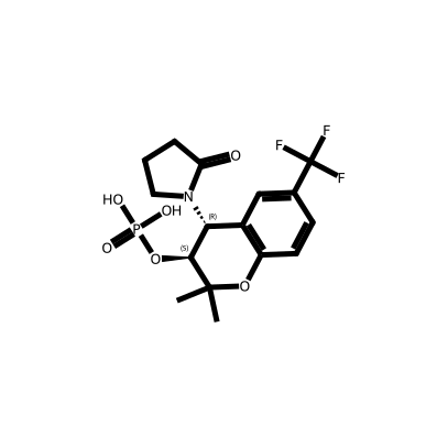 CC1(C)Oc2ccc(C(F)(F)F)cc2[C@@H](N2CCCC2=O)[C@@H]1OP(=O)(O)O